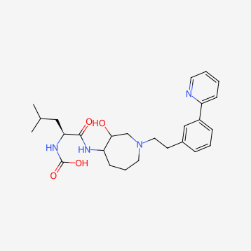 CC(C)C[C@H](NC(=O)O)C(=O)NC1CCCN(CCc2cccc(-c3ccccn3)c2)CC1O